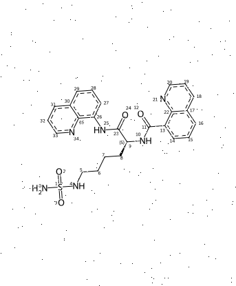 NS(=O)(=O)NCCCC[C@H](NC(=O)c1cccc2cccnc12)C(=O)Nc1cccc2cccnc12